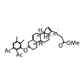 COC(=O)CC[C@@H](C)C1=CC[C@H]2[C@@H]3CC=C4C[C@@H](Oc5c(C)c(C)cc(C(C)=O)c5C(C)=O)CC[C@]4(C)[C@H]3CC[C@]12C